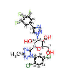 Cc1nc([C@@H]2O[C@H](CO)[C@H](O)[C@H](n3cc(-c4cc(F)c(F)c(F)c4)nn3)[C@H]2O)n(-c2cc(Cl)ccc2Cl)n1